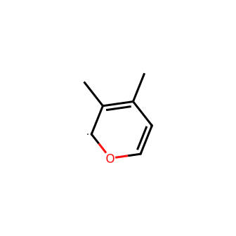 CC1=C(C)C=CO[CH]1